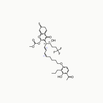 CCCc1c(OCCCC/C=C\C=C\[C@@H](c2c(OC(=O)OC)oc3c(c2=O)=CCC(=S)C=3)[C@H](O)CCC(F)(F)F)ccc(C(C)=O)c1O